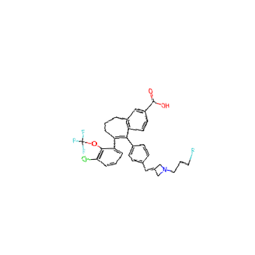 O=C(O)c1ccc2c(c1)CCCC(c1cccc(Cl)c1OC(F)(F)F)=C2c1ccc(C=C2CN(CCCF)C2)cc1